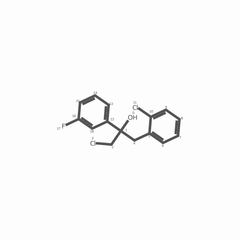 OC(CCl)(Cc1ccccc1Cl)c1cccc(F)c1